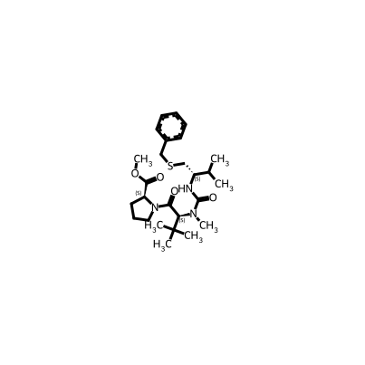 COC(=O)[C@@H]1CCCN1C(=O)[C@@H](N(C)C(=O)N[C@H](CSCc1ccccc1)C(C)C)C(C)(C)C